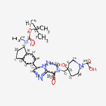 CN(C(=O)OC(C)(C)C)C1CCc2cc(-c3cnc4c(=O)n(CC5(O)CCN(C(=O)O)CC5)cnn34)ccc21